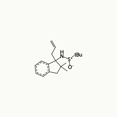 C=CCC1(N[S+]([O-])C(C)(C)C)c2ccccc2CC1(C)C